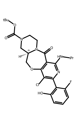 CC(C)Nc1nc(-c2c(O)cccc2F)c(Cl)c2c1C(=O)N1CCN(C(=O)OC(C)(C)C)C[C@@H]1CO2